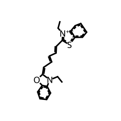 CCN1C(=CC=CC=Cc2sc3ccccc3[n+]2CC)Oc2ccccc21